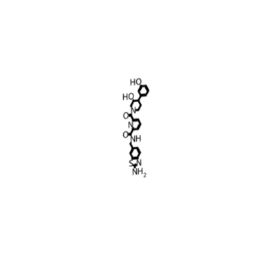 Nc1nc2ccc(CNC(=O)c3cccc(C(=O)N4CCC(c5cccc(O)c5)C(O)C4)n3)cc2s1